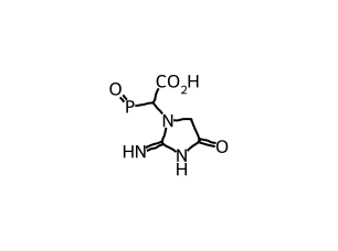 N=C1NC(=O)CN1C(P=O)C(=O)O